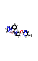 CCc1cnc(OC2CC3CC2N(C(=O)c2ccccc2-n2nccn2)C3)nc1